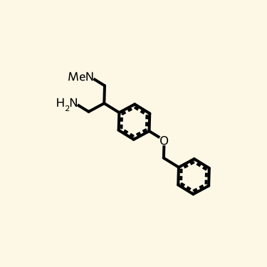 CNCC(CN)c1ccc(OCc2ccccc2)cc1